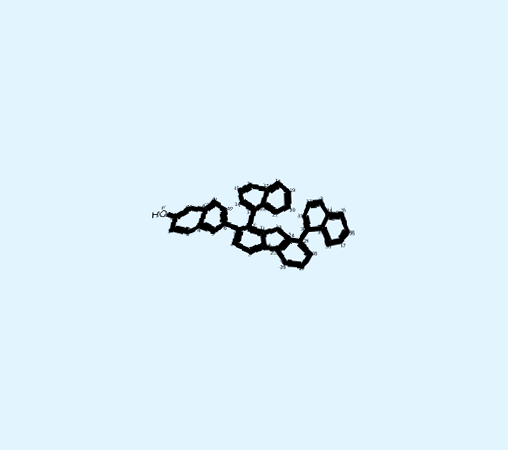 Oc1ccc2cc(-c3ccc4c(c3-c3cccc5ccccc35)Cc3c-4cccc3-c3cccc4ccccc34)ccc2c1